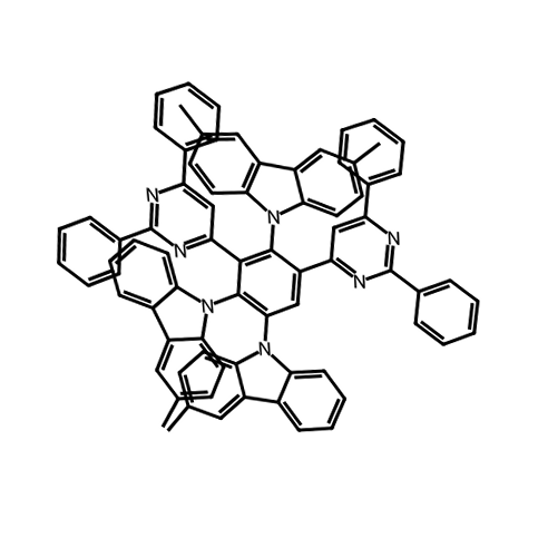 Cc1ccc2c(c1)c1ccccc1n2-c1cc(-c2cc(-c3ccccc3)nc(-c3ccccc3)n2)c(-n2c3ccc(C)cc3c3cc(C)ccc32)c(-c2cc(-c3ccccc3)nc(-c3ccccc3)n2)c1-n1c2ccccc2c2cc(C)ccc21